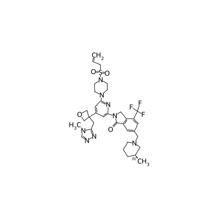 C=CCS(=O)(=O)N1CCN(c2cc(C3(Cc4nncn4C)COC3)cc(N3Cc4c(cc(CN5CCC[C@H](C)C5)cc4C(F)(F)F)C3=O)n2)CC1